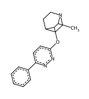 CC1C(Oc2ccc(-c3c[c]ccc3)nn2)C2CCN1CC2